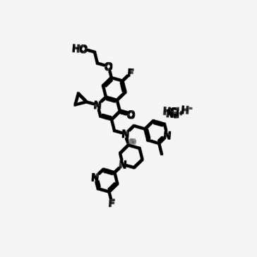 Cc1cc(CN(Cc2cn(C3CC3)c3cc(OCCO)c(F)cc3c2=O)[C@H]2CCCN(c3cncc(F)c3)C2)ccn1.Cl.[H-].[Na+]